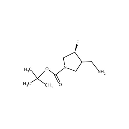 CC(C)(C)OC(=O)N1CC(CN)[C@H](F)C1